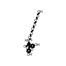 O=C1OC2(c3ccc(O)cc3Oc3cc(O)ccc32)c2ccc(NC(=S)OCCOCCOCCOCCOCCOCCO)cc21